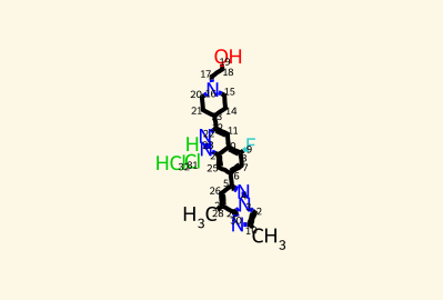 Cc1cn2nc(-c3cc(F)c4cc(C5CCN(CCO)CC5)nnc4c3)cc(C)c2n1.Cl.Cl